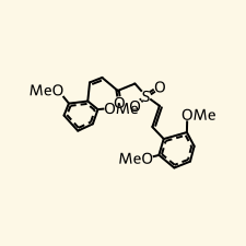 COc1cccc(OC)c1C=CS(=O)(=O)CC(=O)/C=C\c1c(OC)cccc1OC